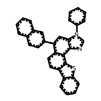 c1ccc(-n2cnc3c4c(ccc5c6ccccc6sc54)c(-c4ccc5ccccc5c4)cc32)cc1